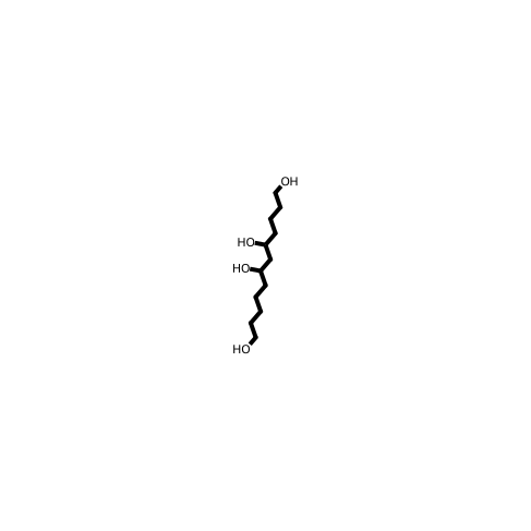 OCCCCCC(O)CC(O)CCCCO